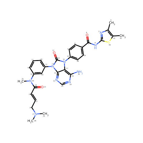 Cc1nc(NC(=O)c2ccc(-n3c(=O)n(-c4cccc(N(C)C(=O)C=CCN(C)C)c4)c4ncnc(N)c43)cc2)sc1C